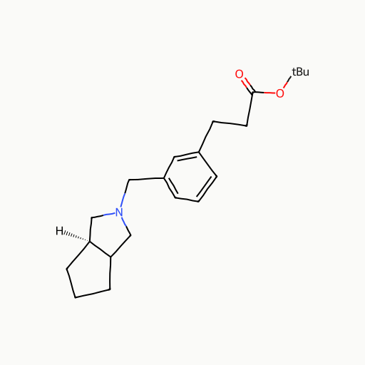 CC(C)(C)OC(=O)CCc1cccc(CN2CC3CCC[C@H]3C2)c1